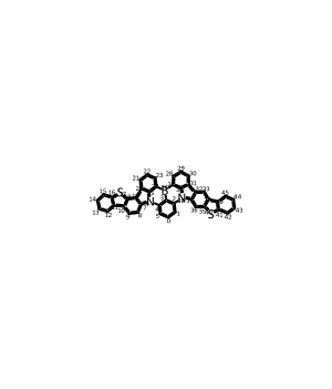 c1cc2c3c(c1)-n1c4ccc5c6ccccc6sc5c4c4cccc(c41)B3c1cccc3c4cc5c(cc4n-2c13)sc1ccccc15